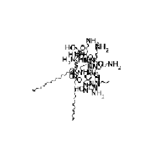 CCCCCCCCCCCCCCCC(=O)OCC(CSC[C@H](N)C(=O)N[C@@H](CO)C(=O)NC(CCCCN)C(=O)N[C@@H](CCCCN)C(=O)NC(CCCCN)C(=O)NC(CCCCN)C(=O)Nc1ccc(Cn2c(O)nc3c(N)nc(NCCCC)nc32)cc1)OC(=O)CCCCCCCCCCCCCCC